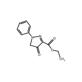 CCOC(=O)C1=NN(c2ccccc2)CC1=O